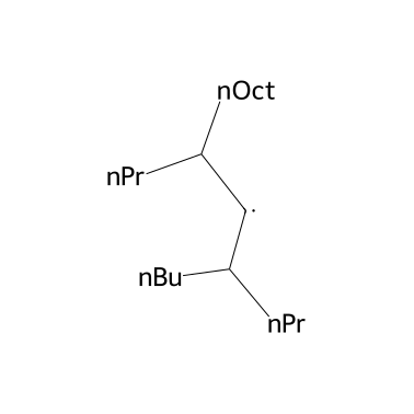 CCCCCCCCC([CH]C(CCC)CCCC)CCC